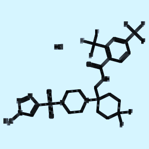 Cl.Cn1cc(S(=O)(=O)N2CCN(C3(CNC(=O)c4ccc(C(F)(F)F)cc4C(F)(F)F)CCC(F)(F)CC3)CC2)nn1